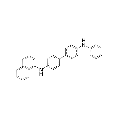 c1ccc(Nc2ccc(-c3ccc(Nc4cccc5ccccc45)cc3)cc2)cc1